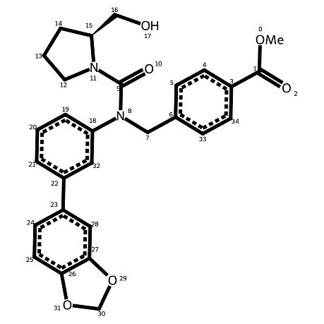 COC(=O)c1ccc(CN(C(=O)N2CCC[C@H]2CO)c2cccc(-c3ccc4c(c3)OCO4)c2)cc1